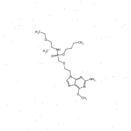 CCCCOP(=O)(COCCn1cnc2c(OC)nc(N)nc21)N[C@H](C)COCC